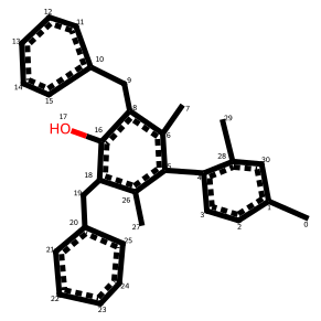 Cc1ccc(-c2c(C)c(Cc3ccccc3)c(O)c(Cc3ccccc3)c2C)c(C)c1